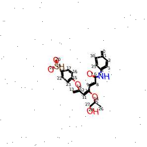 C=C1C=C=C(NC(=O)/C=C/C(=C\C(=C)Oc2ccc([SH](=O)=O)cc2)O[C@@H](C)CO)C=C1